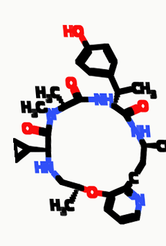 CC(c1ccc(O)cc1)[C@H]1NC(=O)[C@@H](C)N(C)C(=O)[C@H](C2CC2)NC[C@@H](C)Oc2cccnc2CC[C@H](C)NC1=O